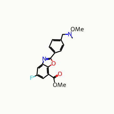 COC(=O)c1cc(F)cc2nc(-c3ccc(CN(C)OC)cc3)oc12